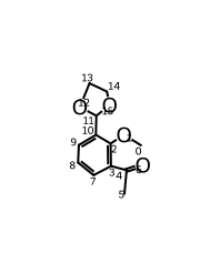 COc1c(C(C)=O)cccc1C1OCCO1